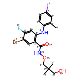 Cc1cc(I)ccc1Nc1cc(F)c(Br)cc1C(=O)NOCC(C)(C)CO